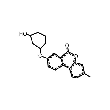 Cc1ccc2c(c1)oc(=O)c1cc(OC3CCCC(O)C3)ccc12